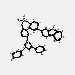 O=S1(=O)Cc2ccc(-c3cc(-c4ccccc4)cc(-c4ccccc4)c3)cc2-c2cc(-c3ccc4c(c3)oc3ccccc34)ccc2C1